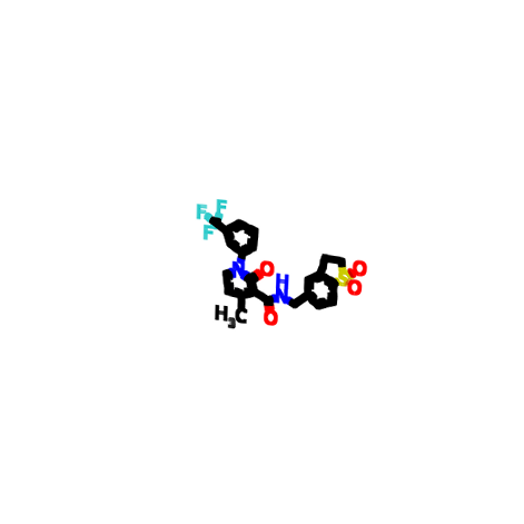 Cc1ccn(-c2cccc(C(F)(F)F)c2)c(=O)c1C(=O)NCc1ccc2c(c1)CCS2(=O)=O